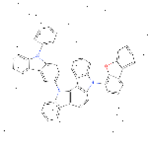 c1ccc(-n2c3ccccc3c3cc(-n4c5ccccc5c5ccc6c(c7ccccc7n6-c6cccc7c6oc6ccccc67)c54)ccc32)cc1